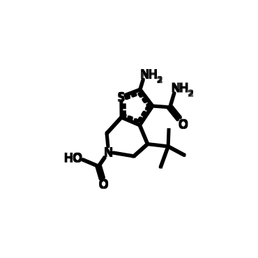 CC(C)(C)C1CN(C(=O)O)Cc2sc(N)c(C(N)=O)c21